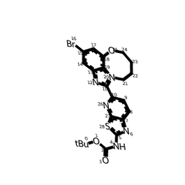 CC(C)(C)OC(=O)Nc1nc2ccc(-c3nc4cc(Br)cc5c4n3CCCCO5)nc2s1